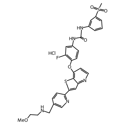 COCCNCc1ccc(-c2cc3nccc(Oc4ccc(NC(=O)Nc5cccc(S(C)(=O)=O)c5)cc4F)c3s2)nc1.Cl